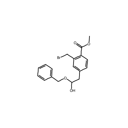 COC(=O)c1ccc(CC(O)OCc2ccccc2)cc1CBr